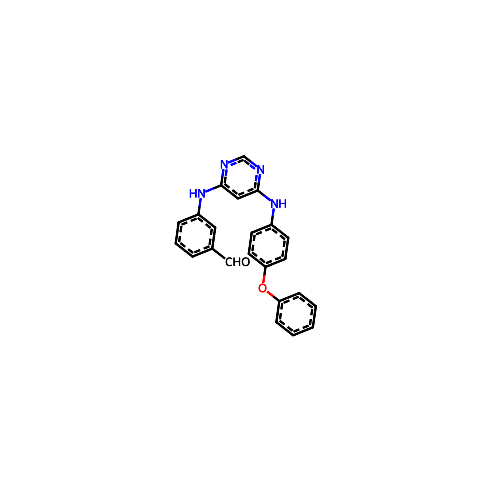 O=Cc1cccc(Nc2cc(Nc3ccc(Oc4ccccc4)cc3)ncn2)c1